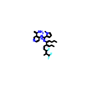 C=C(N)c1cnccc1N/C(=N/C(=C/CCC)C(/C=C\C(F)=C(/C)C(F)F)=C\CC)c1cccn1C